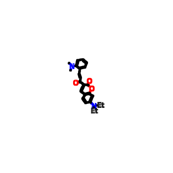 CCN(CC)c1ccc2cc(C(=O)C=Cc3ccccc3N(C)C)c(=O)oc2c1